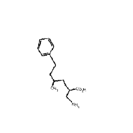 CC(CCc1ccccc1)CC(CN)C(=O)O